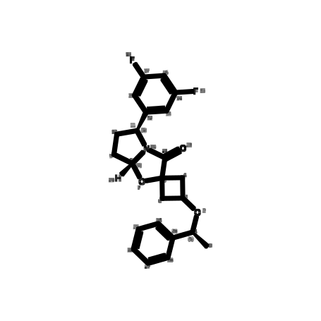 C[C@H](OC1CC2(C1)O[C@@H]1CC[C@@H](c3cc(F)cc(F)c3)N1C2=O)c1ccccc1